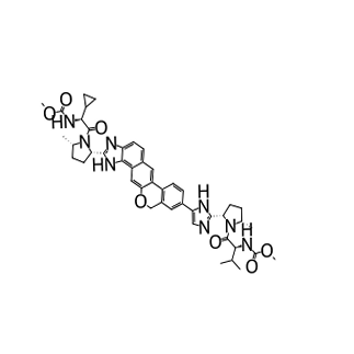 COC(=O)N[C@H](C(=O)N1[C@@H](C)CC[C@H]1c1ncc(-c2ccc3c(c2)COc2cc4c(ccc5nc([C@@H]6CC[C@H](C)N6C(=O)[C@@H](NC(=O)OC)C6CC6)[nH]c54)cc2-3)[nH]1)C(C)C